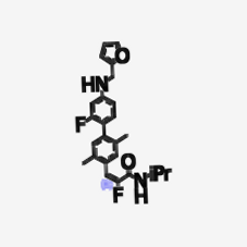 Cc1cc(-c2ccc(NCc3ccco3)cc2F)c(C)cc1/C=C(/F)C(=O)NC(C)C